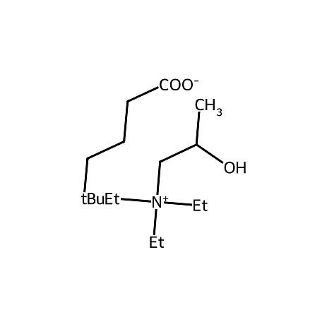 CC(C)(C)CCCC(=O)[O-].CC[N+](CC)(CC)CC(C)O